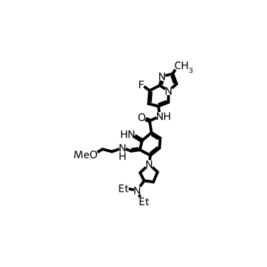 CCN(CC)C1CCN(C2=CC=C(C(=O)Nc3cc(F)c4nc(C)cn4c3)C(=N)/C2=C\NCCOC)C1